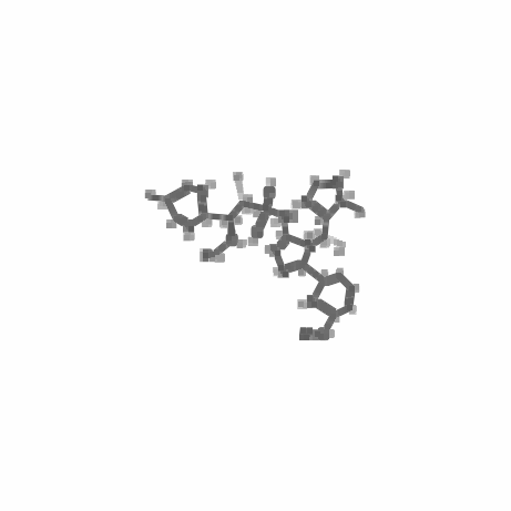 COc1cccc(-c2nnc(NS(=O)(=O)[C@@H](C)[C@@H](OC(C)C)c3ncc(C)cn3)n2[C@@H](C)c2ncnn2C)n1